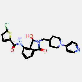 O=C(Nc1cccc2c1C(O)N(CC1CCN(c3ccncc3)CC1)C2=O)C1=CCC(Cl)S1